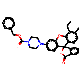 CCc1c(C)ccc2c1Oc1cc(N3CCN(C(=O)OCc4ccccc4)CC3)ccc1C21OC(=O)c2ccccc21